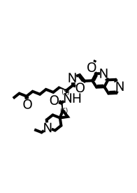 CCC(=O)CCCCC[C@H](NC(=O)[C@H]1CC12CCN(CC)CC2)c1ncc(-c2cc3ccncc3nc2OC)o1